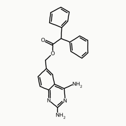 Nc1nc(N)c2cc(COC(=O)C(c3ccccc3)c3ccccc3)ccc2n1